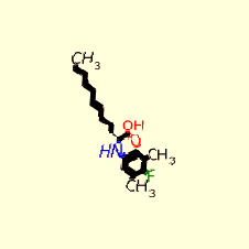 CCCCC/C=C/CCC[C@@H](Nc1cc(C)c(F)c(C)c1)C(=O)O